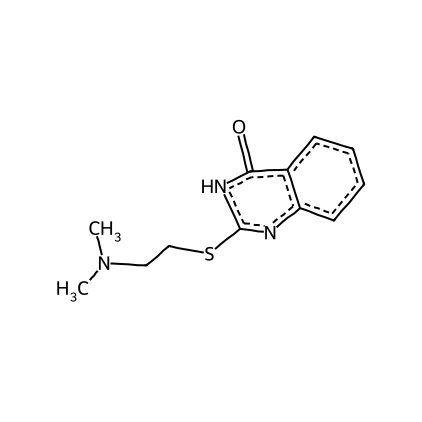 CN(C)CCSc1nc2ccccc2c(=O)[nH]1